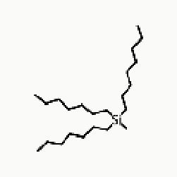 CCCCCCCC[Si](C)(CCCCCCC)CCCCCCC